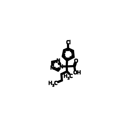 CCCC(C)C(C(=O)O)(c1ccc(Cl)cc1)n1cncn1